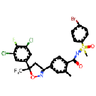 Cc1cc(C2=NOC(c3cc(Cl)c(F)c(Cl)c3)(C(F)(F)F)C2)ccc1C(=O)N=S(C)(=O)c1ccc(Br)cc1